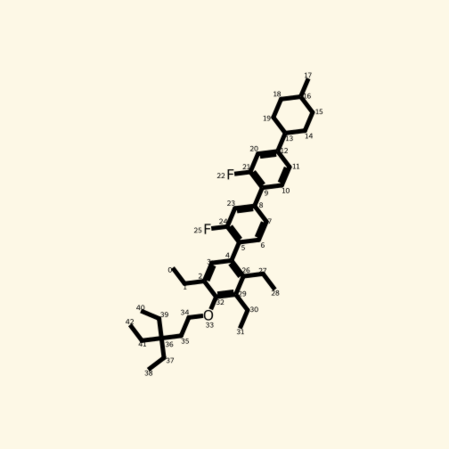 CCc1cc(-c2ccc(-c3ccc(C4CCC(C)CC4)cc3F)cc2F)c(CC)c(CC)c1OCCC(CC)(CC)CC